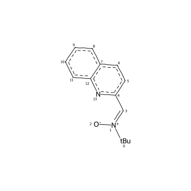 CC(C)(C)[N+]([O-])=Cc1ccc2ccccc2n1